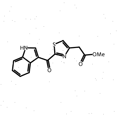 COC(=O)Cc1csc(C(=O)c2c[nH]c3ccccc23)n1